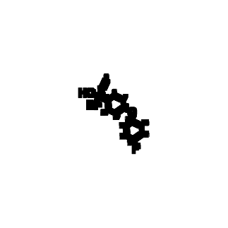 C#CC(O)(CC)c1ccc(Oc2ccc(F)cc2)cc1